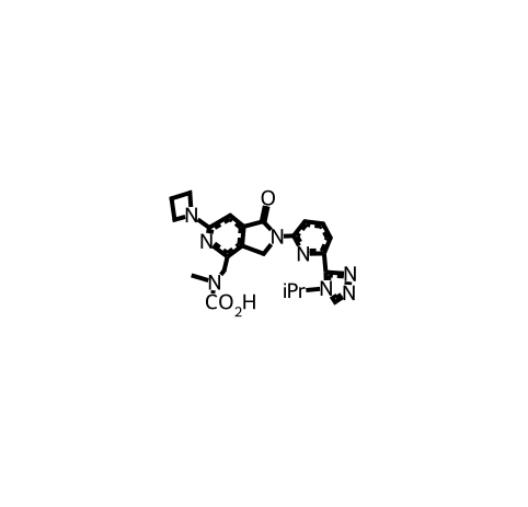 CC(C)n1cnnc1-c1cccc(N2Cc3c(cc(N4CCC4)nc3CN(C)C(=O)O)C2=O)n1